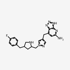 Nc1cc(Cc2cnn(CC3CC(Cc4ccc(F)cc4)CN3)c2)c2nn[nH]c2n1